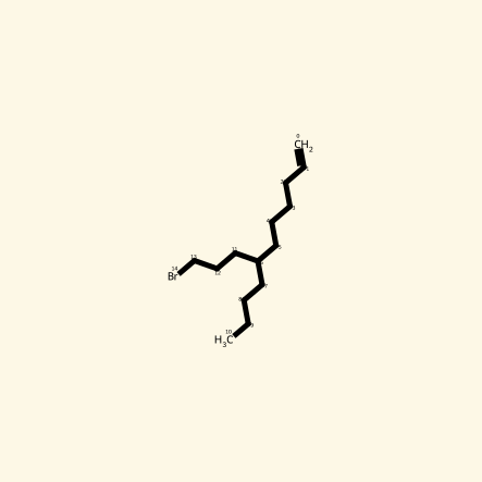 C=CCCCCC(CCCC)CCCBr